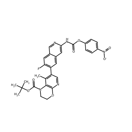 Cc1c(-c2cc3cc(NC(=O)Oc4ccc([N+](=O)[O-])cc4)ncc3cc2F)cnc2c1N(C(=O)OC(C)(C)C)CCO2